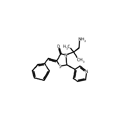 CC(C)(CN)N1C(=O)C(=Cc2ccccc2)SC1c1cccnc1